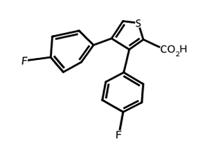 O=C(O)c1scc(-c2ccc(F)cc2)c1-c1ccc(F)cc1